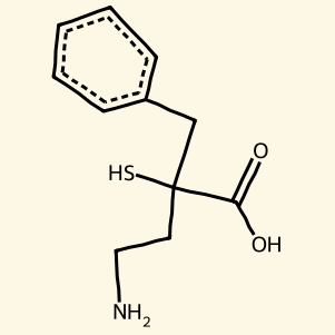 NCCC(S)(Cc1ccccc1)C(=O)O